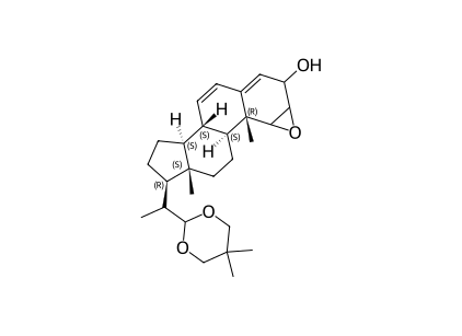 CC(C1OCC(C)(C)CO1)[C@H]1CC[C@H]2[C@@H]3C=CC4=CC(O)C5OC5[C@]4(C)[C@H]3CC[C@]12C